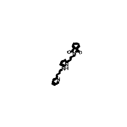 O=C1c2ccccc2C(=O)N1CCCc1cccc(NCCCc2ccccn2)n1